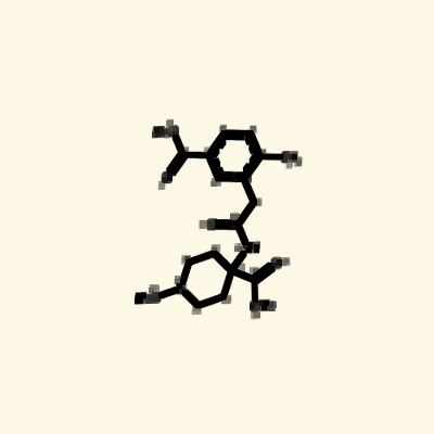 COC(=O)c1ccc(C)c(CC(=O)NC2(C(=O)OC)CCN(OC)CC2)c1